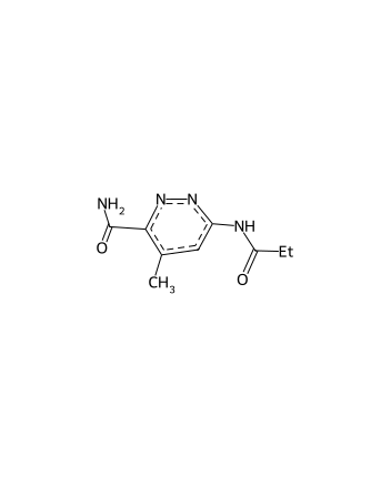 CCC(=O)Nc1cc(C)c(C(N)=O)nn1